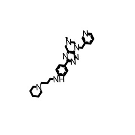 CN1Cc2nc(-c3ccc(NCCCN4CCCCC4)cc3)nnc2N(Cc2cccnc2)C1